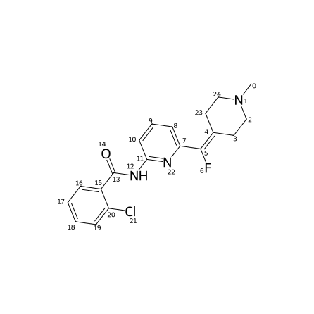 CN1CCC(=C(F)c2cccc(NC(=O)c3ccccc3Cl)n2)CC1